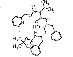 CC(C)[C@H](NOCc1ccccn1)C(=O)N[C@@H](Cc1ccccc1)[C@@H](O)C[C@H](Cc1ccccc1)NC(=O)OC(C)(C)C